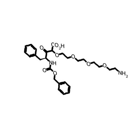 NCCOCCOCCOCCOC(C(=O)O)C(=O)[C@H](Cc1ccccc1)NC(=O)OCc1ccccc1